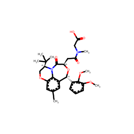 COc1cccc([C@H]2O[C@H](CC(=O)N(C)CC(=O)O)C(=O)N3c4c(cc(C)cc42)OC[C@H]3C(C)(C)C)c1OC